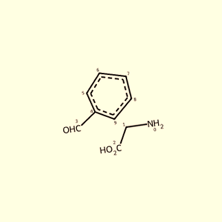 NCC(=O)O.O=Cc1ccccc1